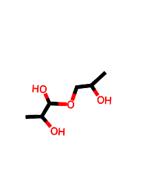 CC(O)COC(O)C(C)O